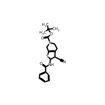 CC(C)(C)OC(=O)N1CCC2=C(C1)SC(NC(=O)c1ccccc1)C2C#N